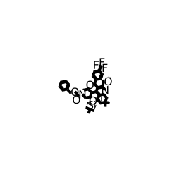 COC(C)c1nc2c(c(C3CCN(C(=O)OCc4ccccc4)CC3)c1C(=O)c1ccc(C(F)(F)F)cc1)[C@@H](O[Si](C)(C)C(C)(C)C)CC(C)(C)C2